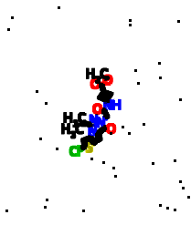 COC(=O)C12CC(NC(=O)Cn3nc(C(C)C)n4c(cc5sc(Cl)cc54)c3=O)(C1)C2